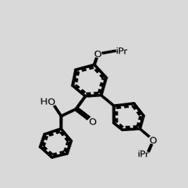 CC(C)Oc1ccc(-c2cc(OC(C)C)ccc2C(=O)C(O)c2ccccc2)cc1